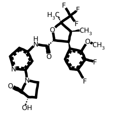 COc1c([C@H]2[C@H](C(=O)Nc3ccnc(N4CC[C@H](O)C4=O)c3)O[C@@](C)(C(F)(F)F)[C@H]2C)ccc(F)c1F